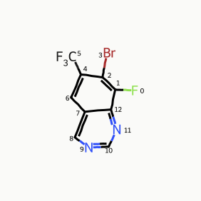 Fc1c(Br)c(C(F)(F)F)cc2cncnc12